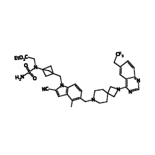 CCOC(=O)CN(C12CC(Cn3c(C#N)cc4c(C)c(CN5CCC6(CC5)CN(c5ncnc7ccc(CC(F)(F)F)cc57)C6)ccc43)(C1)C2)S(N)(=O)=O